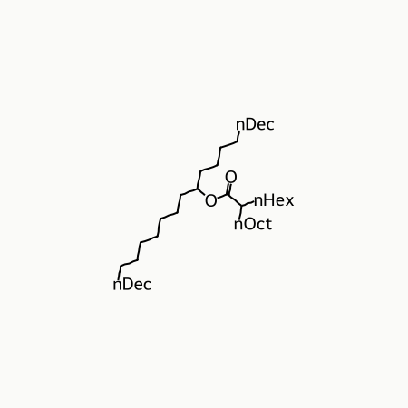 CCCCCCCCCCCCCCCCCC(CCCCCCCCCCCCCC)OC(=O)C(CCCCCC)CCCCCCCC